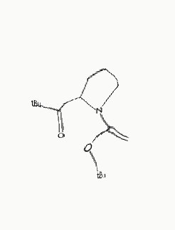 C=C(OC(C)(C)C)N1CCCC1C(=O)C(C)(C)C